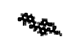 CN(C(=O)Cc1ccc2c(c1)NC(=O)CO2)[C@H](CN1CCC(O)C1)c1cccc(OCC(N)=O)c1